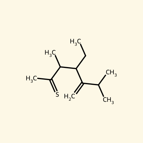 C=C(C(C)C)C(CC)C(C)C(C)=S